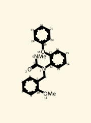 CNC(=O)N(Cc1ccccc1OC)c1ccccc1Oc1ccccc1